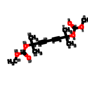 COC(=O)OC(C)(C)C#CC#CC(C)(C)OC(=O)OC